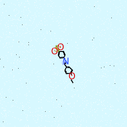 CCOc1ccc(/C=N/c2ccc(S(C)(=O)=O)cc2)cc1